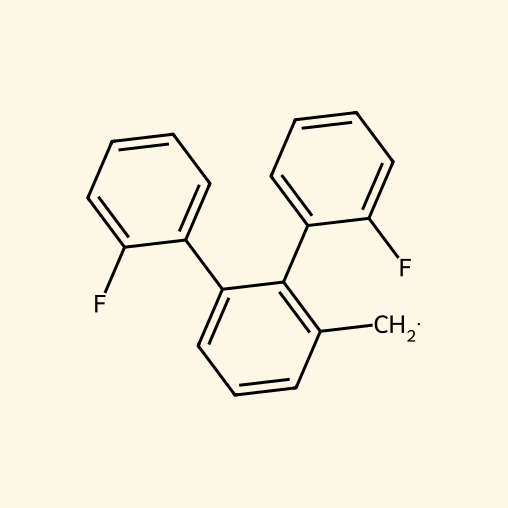 [CH2]c1cccc(-c2ccccc2F)c1-c1ccccc1F